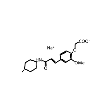 COc1cc(C=CC(=O)N[C@H]2CC[C@H](C)CC2)ccc1OCC(=O)[O-].[Na+]